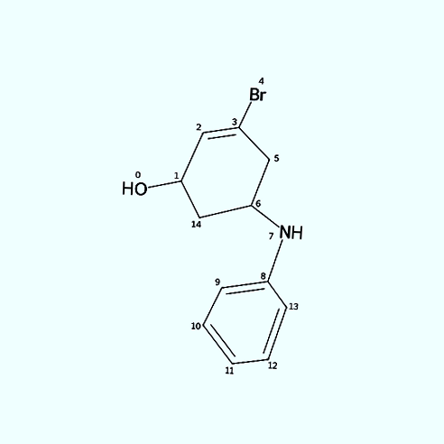 OC1C=C(Br)CC(Nc2ccccc2)C1